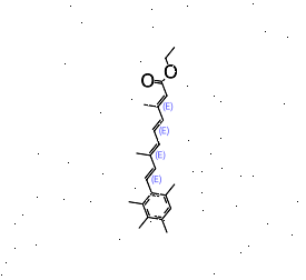 CCOC(=O)/C=C(C)/C=C/C=C(C)/C=C/c1c(C)cc(C)c(C)c1C